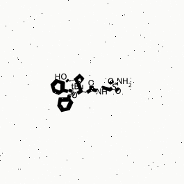 CC(C)(C)[Si](O[C@@H](CC(=O)NCCS(N)(=O)=O)[C@@H]1CC[C@H]1CO)(c1ccccc1)c1ccccc1